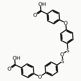 O=C(O)c1ccc(Oc2ccc(SOSc3ccc(Oc4ccc(C(=O)O)cc4)cc3)cc2)cc1